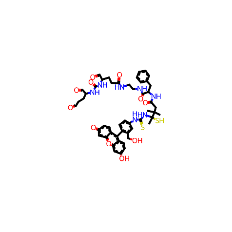 CC(C)(CC(=O)NC(Cc1ccccc1)C(=O)NCCNC(=O)CCC(C=O)NC(=O)NC(C=O)CCC=O)C(C)(S)NC(=S)Nc1ccc(-c2c3ccc(=O)cc-3oc3cc(O)ccc23)c(CO)c1